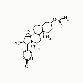 CC(=O)OC1CCC2(C)C(CCC3C2CCC2(C)C(c4ccc(=O)oc4)C(O)C4OC342)C1